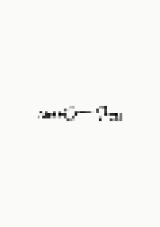 COc1ccc(C#Cc2ccc(C#N)s2)cc1